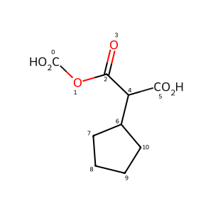 O=C(O)OC(=O)C(C(=O)O)C1CCCC1